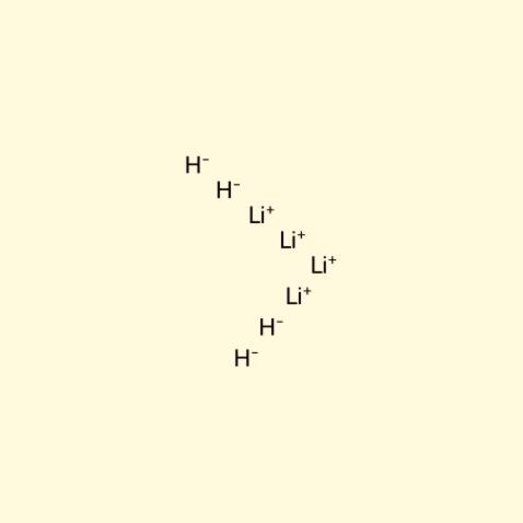 [H-].[H-].[H-].[H-].[Li+].[Li+].[Li+].[Li+]